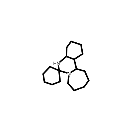 C1CCC2C3CCCCC3NC3(CCCCC3)N2CC1